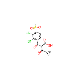 CS(=O)(=O)c1ccc(C(=O)C(C(=O)O)C(=O)C2CC2)c(Cl)c1Cl